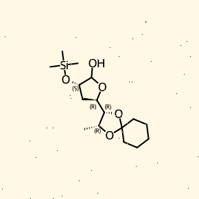 C[C@H]1OC2(CCCCC2)O[C@H]1[C@H]1C[C@H](O[Si](C)(C)C)C(O)O1